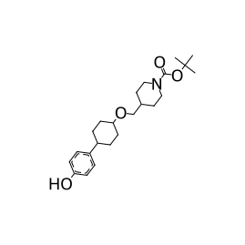 CC(C)(C)OC(=O)N1CCC(COC2CCC(c3ccc(O)cc3)CC2)CC1